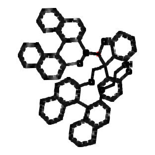 OCCOc1ccc2ccccc2c1-c1c(OCC2(COc3ccc4ccccc4c3-c3c(OCCO)ccc4ccccc34)c3ccccc3Oc3ccccc32)ccc2ccccc12